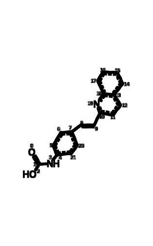 O=C(O)Nc1ccc(C=Cc2ccc3ccccc3n2)cc1